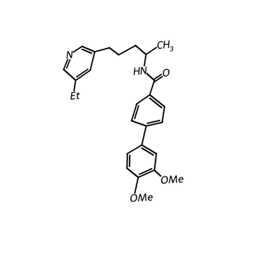 CCc1cncc(CCCC(C)NC(=O)c2ccc(-c3ccc(OC)c(OC)c3)cc2)c1